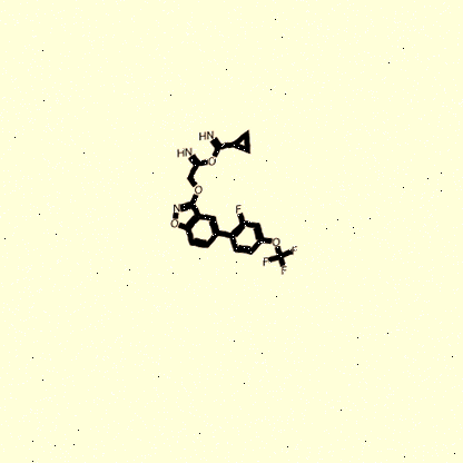 N=C(COc1noc2ccc(-c3ccc(OC(F)(F)F)cc3F)cc12)OC(=N)C1CC1